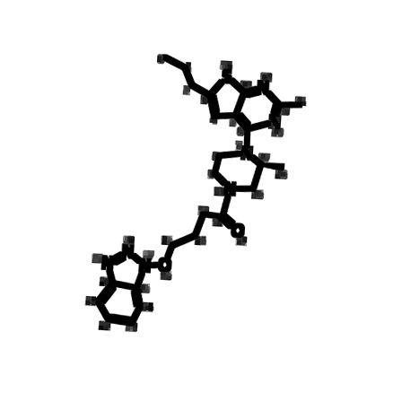 CCCc1cc2c(N3CCN(C(=O)CCCOn4nnc5ccccc54)C[C@@H]3C)nc(C)nc2s1